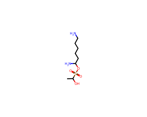 CC(O)S(=O)(=O)OC(N)CCCCCN